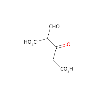 O=CC(C(=O)O)C(=O)CC(=O)O